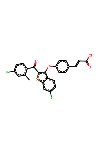 Cc1cc(F)ccc1C(=O)c1sc2cc(F)ccc2c1Oc1ccc(/C=C/C(=O)O)cc1